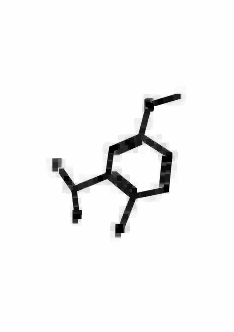 CSc1ccc(F)c(C(F)F)c1